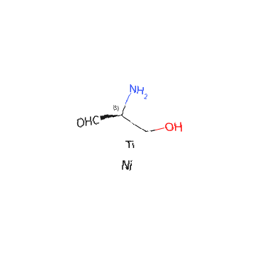 N[C@H](C=O)CO.[Ni].[Ti]